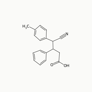 Cc1ccc(C(C#N)C(CC(=O)O)c2ccccc2)cc1